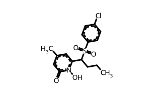 CCCC(c1cc(C)cc(=O)n1O)S(=O)(=O)c1ccc(Cl)cc1